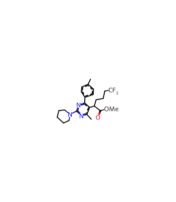 COC(=O)C(CCCC(F)(F)F)c1c(C)nc(N2CCCCC2)nc1-c1ccc(C)cc1